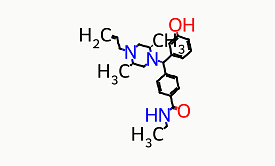 C=CCN1C[C@H](C)N([C@H](c2ccc(C(=O)NCC)cc2)c2cccc(O)c2)C[C@H]1C